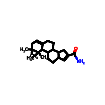 CC1(C)CC=C2CCC3C4CC(C(N)=O)=CC4CCC3C2C1(C)C